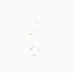 CC(C)(C)c1ccccc1C(OC(=O)N1CCN(C(=O)O)C(C(=O)O)C1)C(C)(C)C